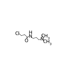 CN(C)CCCNC(=O)CCCl